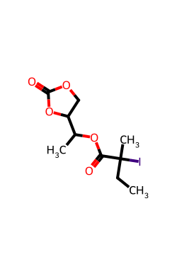 CCC(C)(I)C(=O)OC(C)C1COC(=O)O1